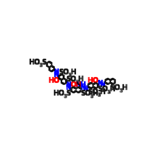 Nc1c(N=Nc2ccc3c(O)c(N=Nc4ccc5cccc(S(=O)(=O)O)c5c4)c(S(=O)(=O)O)cc3c2S(=O)(=O)O)c(S(=O)(=O)O)cc2cc(S(=O)(=O)O)c(N=Nc3ccc4c(O)c(N=Nc5ccc6cc(S(=O)(=O)O)ccc6c5)c(S(=O)(=O)O)cc4c3S(=O)(=O)O)c(O)c12